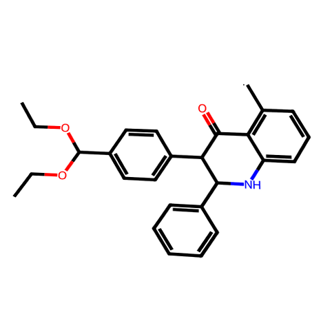 [CH2]c1cccc2c1C(=O)C(c1ccc(C(OCC)OCC)cc1)C(c1ccccc1)N2